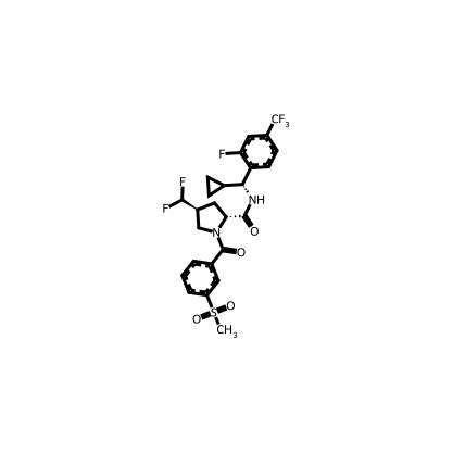 CS(=O)(=O)c1cccc(C(=O)N2C[C@@H](C(F)F)C[C@@H]2C(=O)N[C@@H](c2ccc(C(F)(F)F)cc2F)C2CC2)c1